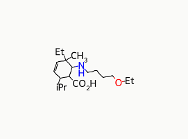 CCOCCCCNC1C(C(=O)O)C(C(C)C)C=CC1(C)CC